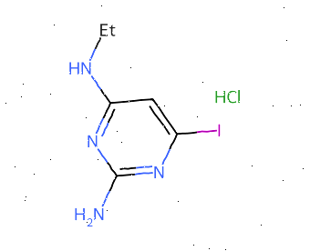 CCNc1cc(I)nc(N)n1.Cl